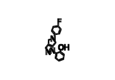 Oc1ccccc1-n1ncc2c1CN(c1ccc(F)cc1)C2